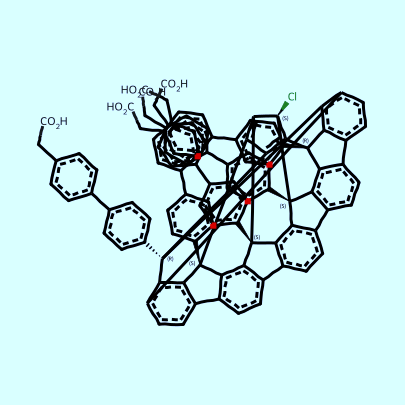 O=C(O)Cc1ccc(-c2ccc([C@]34C5=C6[C@]7(c8ccc(-c9ccc(CC(=O)O)cc9)cc8)c8c9ccc(c83)-c3ccc8c(c34)[C@]3(c4ccc(-c%10ccc(CC(=O)O)cc%10)cc4)C5=C4[C@@]5(c%10ccc(-c%11ccc(CC(=O)O)cc%11)cc%10)c%10c(ccc-8c%103)-c3ccc8c(c35)[C@@](c3ccc(-c5ccc(CC(=O)O)cc5)cc3)(c3c-8ccc-9c37)[C@@]64Cl)cc2)cc1